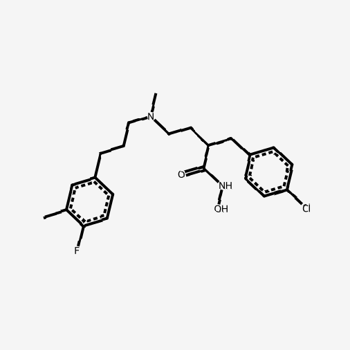 Cc1cc(CCCN(C)CCC(Cc2ccc(Cl)cc2)C(=O)NO)ccc1F